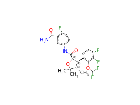 C[C@H]1[C@H](c2ccc(F)c(F)c2OC(F)F)[C@H](C(=O)Nc2ccc(F)c(C(N)=O)c2)OC1(C)C